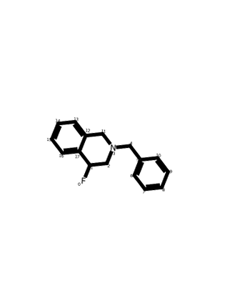 FC1CN(Cc2ccccc2)Cc2ccccc21